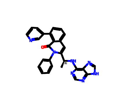 C[C@H](Nc1ncnc2[nH]cnc12)c1cc2cccc(-c3cccnc3)c2c(=O)n1-c1ccccc1